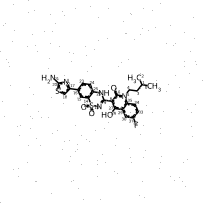 CC(C)CCn1c(=O)c(C2=NS(=O)(=O)c3cc(-c4csc(N)n4)ccc3N2)c(O)c2cc(F)ccc21